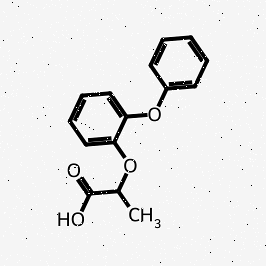 CC(Oc1ccccc1Oc1ccccc1)C(=O)O